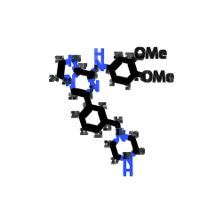 COc1ccc(Nc2nc(-c3cccc(CN4CCNCC4)c3)cn3ccnc23)cc1OC